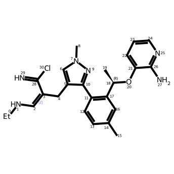 CCN/C=C(/Cc1cn(C)nc1-c1ccc(C)cc1[C@@H](C)Oc1cccnc1N)C(=N)Cl